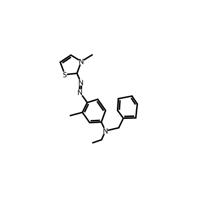 CCN(Cc1ccccc1)c1ccc(N=NC2SC=CN2C)c(C)c1